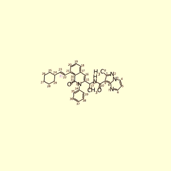 Cc1nn2cccnc2c1C(=O)NC(C)c1cc2cccc(/C=C/C3CCCCC3)c2c(=O)n1-c1ccccc1